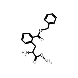 NOC(=O)[C@@H](N)Cc1ccccc1C(=O)OCc1ccccc1